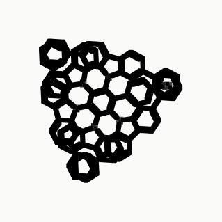 N#Cc1ccc(-c2c(-n3c4cc(-c5ccccc5)ccc4c4ccc(-c5ccccc5)cc43)c(-n3c4ccccc4c4ccccc43)c(-n3c4cc(-c5ccccc5)ccc4c4ccc(-c5ccccc5)cc43)c(-n3c4ccccc4c4ccccc43)c2-n2c3cc(-c4ccccc4)ccc3c3ccc(-c4ccccc4)cc32)cc1